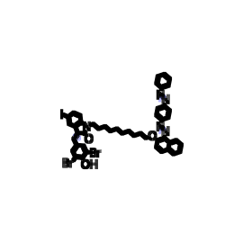 O=C1/C(=C\c2cc(Br)c(O)c(Br)c2)c2cc(I)ccc2N1CCCCCCCCCCOc1ccc2ccccc2c1/N=N/c1ccc(/N=N/c2ccccc2)cc1